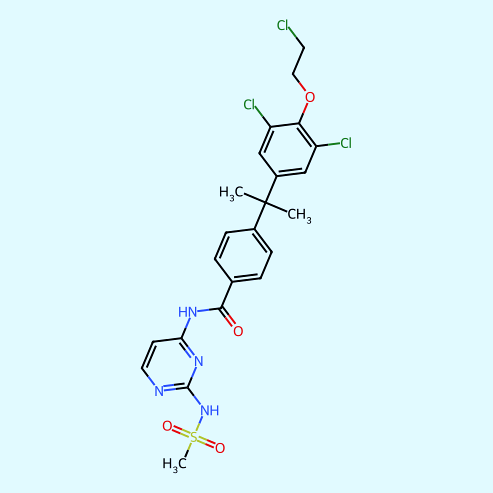 CC(C)(c1ccc(C(=O)Nc2ccnc(NS(C)(=O)=O)n2)cc1)c1cc(Cl)c(OCCCl)c(Cl)c1